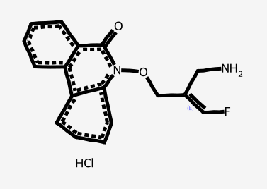 Cl.NC/C(=C\F)COn1c(=O)c2ccccc2c2ccccc21